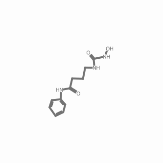 O=C(CCCNC(=O)NO)Nc1ccccc1